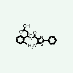 Cc1ccccc1C(CC(=O)O)NC(=O)c1nc(-c2ccccc2)sc1N